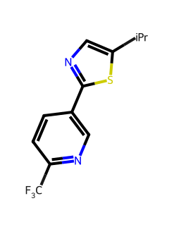 CC(C)c1cnc(-c2ccc(C(F)(F)F)nc2)s1